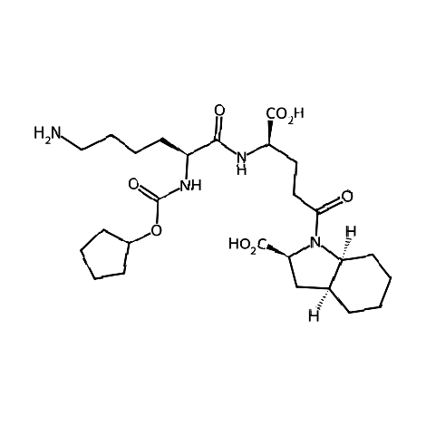 NCCCC[C@H](NC(=O)OC1CCCC1)C(=O)N[C@H](CCC(=O)N1[C@H](C(=O)O)C[C@@H]2CCCC[C@@H]21)C(=O)O